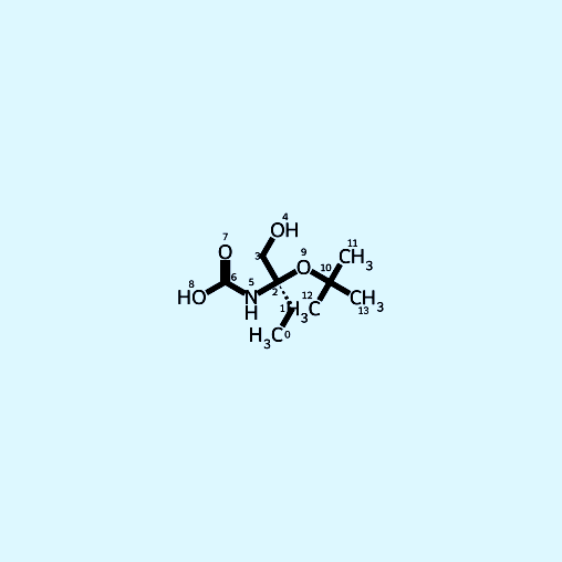 CC[C@@](CO)(NC(=O)O)OC(C)(C)C